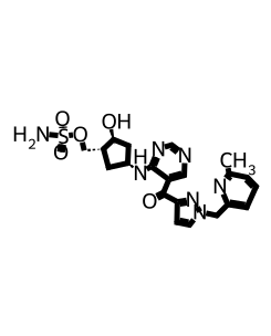 Cc1cccc(Cn2ccc(C(=O)c3cncnc3N[C@@H]3C[C@H](COS(N)(=O)=O)[C@@H](O)C3)n2)n1